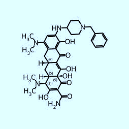 CN(C)c1cc(NC2CCN(Cc3ccccc3)CC2)c(O)c2c1C[C@H]1C[C@H]3[C@H](N(C)C)C(O)=C(C(N)=O)C(=O)[C@@]3(O)C(O)=C1C2=O